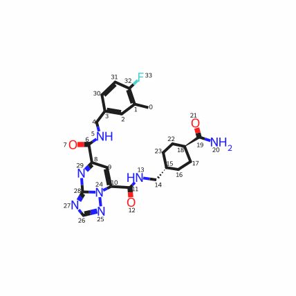 Cc1cc(CNC(=O)c2cc(C(=O)NC[C@H]3CC[C@H](C(N)=O)CC3)n3ncnc3n2)ccc1F